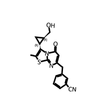 Cc1sc2nc(Cc3cccc(C#N)c3)cc(=O)n2c1[C@@H]1C[C@H]1CO